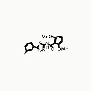 COc1cccc(OC)c1C(=O)Nc1nnc(-c2cccc(F)c2)s1